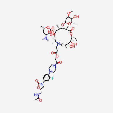 CC[C@H]1OC(=O)[C@H](C)[C@@H](O[C@H]2C[C@@H](OC)[C@@H](O)[C@H](C)O2)[C@H](C)[C@@H](O[C@@H]2O[C@H](C)C[C@H](N(C)C)[C@H]2O)[C@](C)(O)C[C@@H](C)N(CCC(=O)OCC(=O)N2CCN(c3ccc(N4C[C@H](CNC(C)=O)OC4=O)cc3F)CC2)C[C@H](C)[C@@H](O)[C@]1(C)O